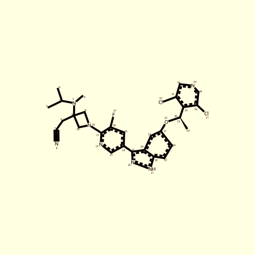 CC(C)N(C)C1(CC#N)CN(c2ncc(-c3n[nH]c4ccc(O[C@H](C)c5c(Cl)cncc5Cl)cc34)cc2F)C1